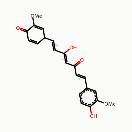 COC1=CC(/C=C/C(O)=C/C(=O)/C=C/c2ccc(O)c(OC)c2)C=CC1=O